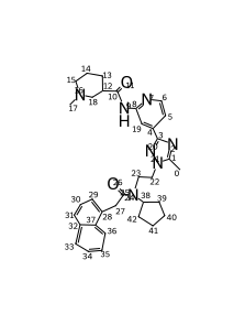 Cc1nc(-c2ccnc(NC(=O)C3CCCN(C)C3)c2)nn1CCN(C(=O)Cc1cccc2ccccc12)C1CCCC1